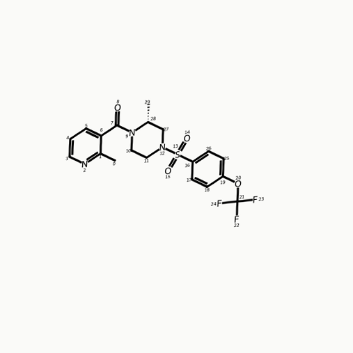 Cc1ncccc1C(=O)N1CCN(S(=O)(=O)c2ccc(OC(F)(F)F)cc2)C[C@H]1C